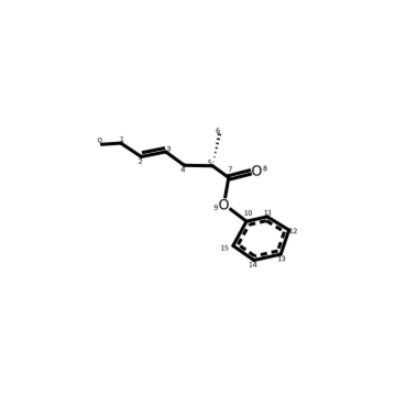 CC/C=C/C[C@H](C)C(=O)Oc1ccccc1